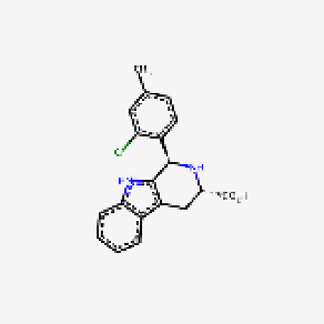 Cc1ccc([C@H]2N[C@H](C(=O)O)Cc3c2[nH]c2ccccc32)c(Cl)c1